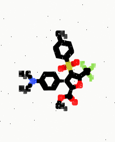 COC(=O)[C@@H]1OC(C(F)(F)F)=C(S(=O)(=O)c2ccc(C)cc2)[C@H]1c1ccc(N(C)C)cc1